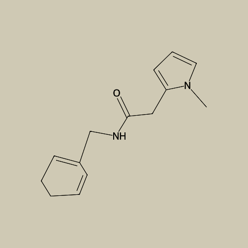 Cn1cccc1CC(=O)NCC1=CCCC=C1